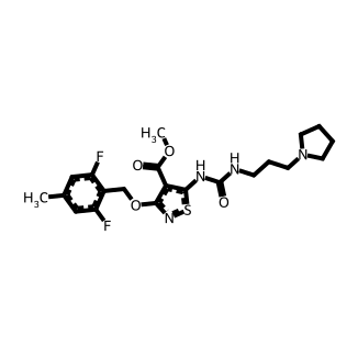 COC(=O)c1c(OCc2c(F)cc(C)cc2F)nsc1NC(=O)NCCCN1CCCC1